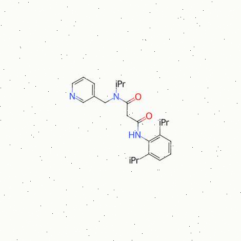 CC(C)c1cccc(C(C)C)c1NC(=O)CC(=O)N(Cc1cccnc1)C(C)C